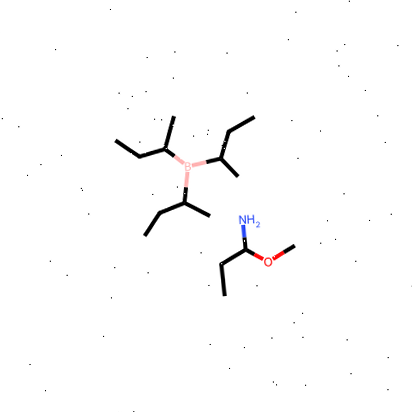 CCC(C)B(C(C)CC)C(C)CC.CCC(N)OC